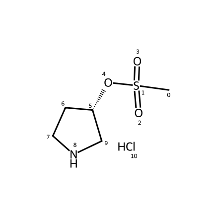 CS(=O)(=O)O[C@H]1CCNC1.Cl